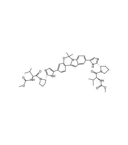 COC(=O)N[C@H](C(=O)N1CCC[C@H]1c1ncc(-c2ccc3c(c2)OC(C)(C)n2c-3cc3cc(-c4cnc([C@@H]5CCCN5C(=O)[C@@H](NC(=O)OC)C(C)C)[nH]4)ccc32)[nH]1)C(C)C